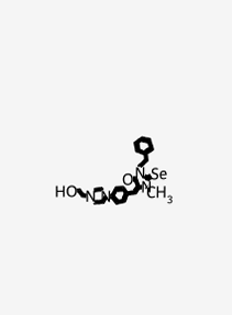 CN1C(=[Se])N(CCc2ccccc2)C(=O)C1=Cc1ccc(N2CCN(CCO)CC2)cc1